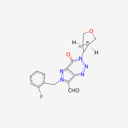 O=Cc1c2nnn(C3[C@H]4COC[C@@H]34)c(=O)c2nn1Cc1ccccc1F